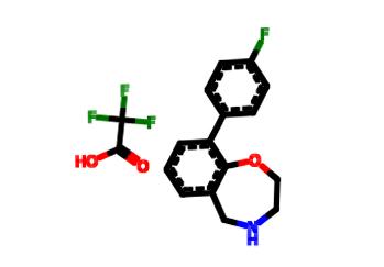 Fc1ccc(-c2cccc3c2OCCNC3)cc1.O=C(O)C(F)(F)F